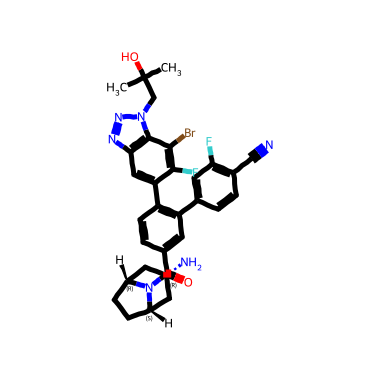 CC(C)(O)Cn1nnc2cc(-c3ccc(C(=O)N4[C@@H]5CC[C@H]4C[C@@H](N)C5)cc3-c3ccc(C#N)c(F)c3)c(F)c(Br)c21